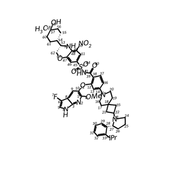 COc1nc2[nH]cc(F)c2cc1Oc1cc(N2CCC3(CC2)CC(N2CCC[C@@H]2c2ccccc2C(C)C)C3)ccc1C(=O)NS(=O)(=O)c1cc2c(c([N+](=O)[O-])c1)N[C@@H]([C@H]1CC[C@](C)(O)CC1)CO2